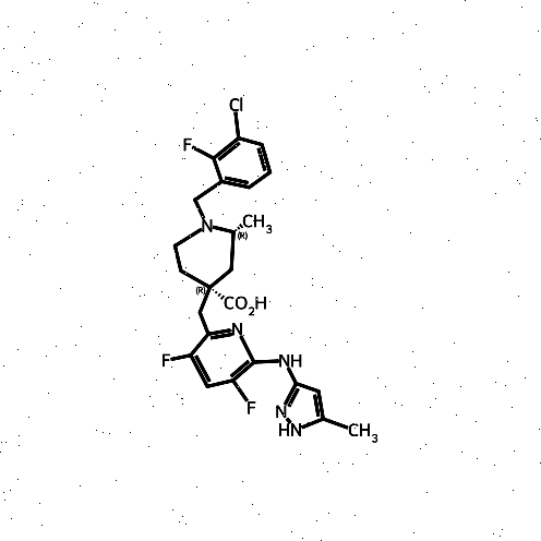 Cc1cc(Nc2nc(C[C@@]3(C(=O)O)CCN(Cc4cccc(Cl)c4F)[C@H](C)C3)c(F)cc2F)n[nH]1